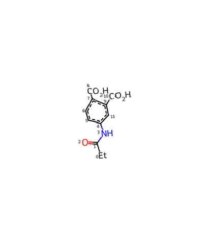 CCC(=O)Nc1ccc(C(=O)O)c(C(=O)O)c1